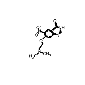 CN(C)CCOc1cc2nc[nH]c(=O)c2cc1[N+](=O)[O-]